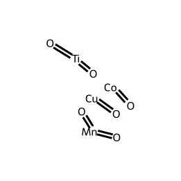 [O]=[Co].[O]=[Cu].[O]=[Mn]=[O].[O]=[Ti]=[O]